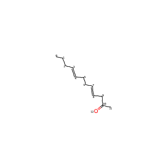 CCC/C=C/CC/C=C/CC(C)=O